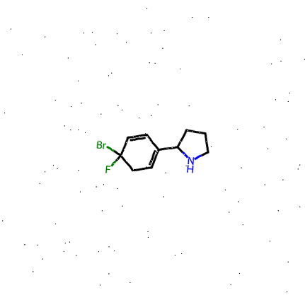 FC1(Br)C=CC(C2CCCN2)=CC1